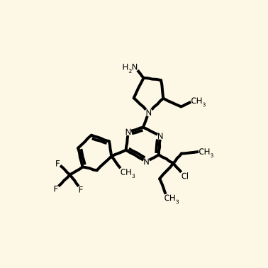 CCC1CC(N)CN1c1nc(C2(C)C=CC=C(C(F)(F)F)C2)nc(C(Cl)(CC)CC)n1